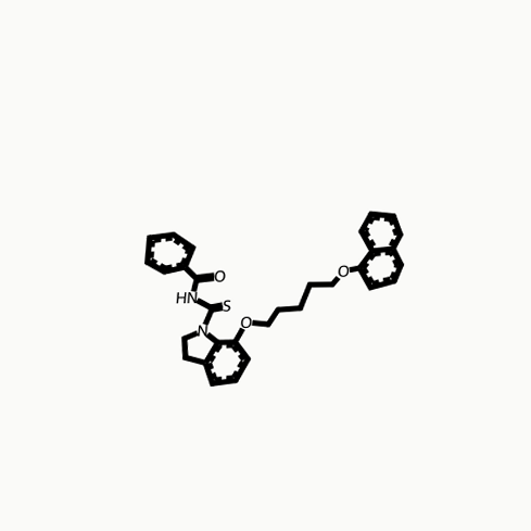 O=C(NC(=S)N1CCc2cccc(OCCCCCOc3cccc4ccccc34)c21)c1ccccc1